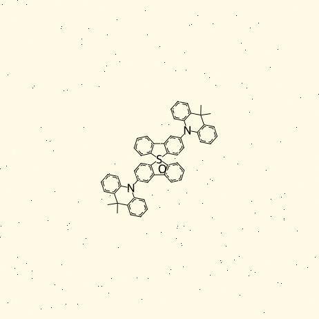 CC1(C)c2ccccc2N(c2ccc3c(c2)-c2ccccc2S32(=O)c3ccccc3-c3cc(N4c5ccccc5C(C)(C)c5ccccc54)ccc32)c2ccccc21